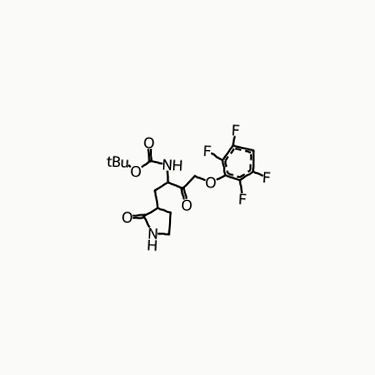 CC(C)(C)OC(=O)NC(CC1CCNC1=O)C(=O)COc1c(F)c(F)cc(F)c1F